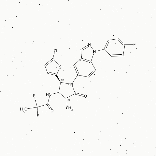 C[C@H]1C(=O)N(c2ccc3c(cnn3-c3ccc(F)cc3)c2)[C@H](c2ccc(Cl)s2)C1NC(=O)C(C)(F)F